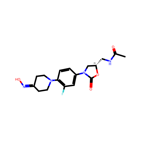 CC(=O)NC[C@H]1CN(c2ccc(N3CCC(=NO)CC3)c(F)c2)C(=O)O1